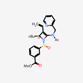 C=CC1=C(N(Cc2ccccn2)C(C)=O)N([S+]([O-])c2cccc(C(=O)OC)c2)[C@H]1CCCC